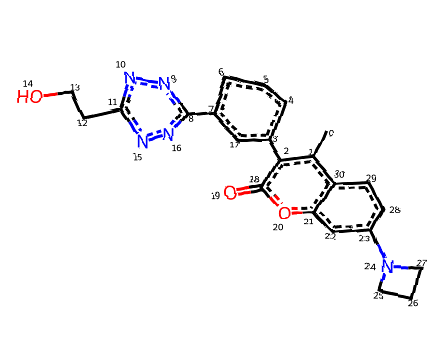 Cc1c(-c2cccc(-c3nnc(CCO)nn3)c2)c(=O)oc2cc(N3CCC3)ccc12